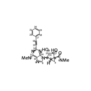 CNC(=O)[C@@]12C[C@@H]1[C@@H](n1cnc3c(NC)nc(C#Cc4ccccc4)nc31)[C@H](O)[C@@H]2O